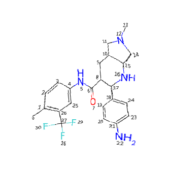 Cc1ccc(NC(=O)C2CC3CN(C)CC3NC2c2ccc(N)cc2)cc1C(F)(F)F